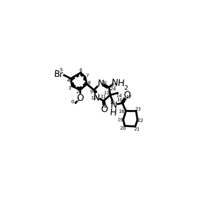 COc1cc(Br)ccc1C1=NC(=O)C(C)(NC(=O)C2CCCCC2)C(N)=N1